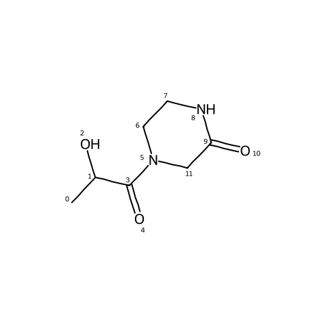 CC(O)C(=O)N1CCNC(=O)C1